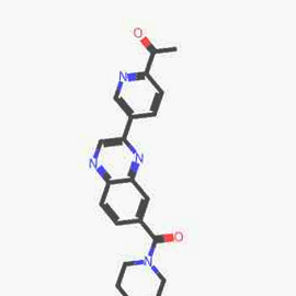 CC(=O)c1ccc(-c2cnc3ccc(C(=O)N4CCCCC4)cc3n2)cn1